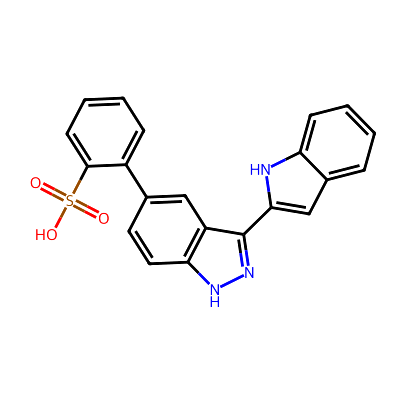 O=S(=O)(O)c1ccccc1-c1ccc2[nH]nc(-c3cc4ccccc4[nH]3)c2c1